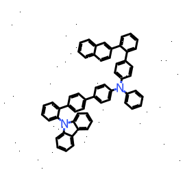 c1ccc(N(c2ccc(-c3ccc(-c4ccccc4-n4c5ccccc5c5ccccc54)cc3)cc2)c2ccc(-c3ccccc3-c3ccc4ccccc4c3)cc2)cc1